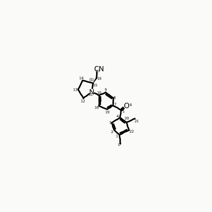 Cc1ccc(C(=O)c2ccc(N3CCC[C@H]3CC#N)cc2)c(C)c1